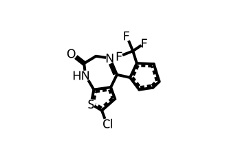 O=C1CN=C(c2ccccc2C(F)(F)F)c2cc(Cl)sc2N1